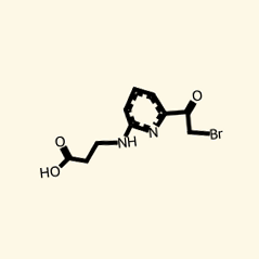 O=C(O)CCNc1cccc(C(=O)CBr)n1